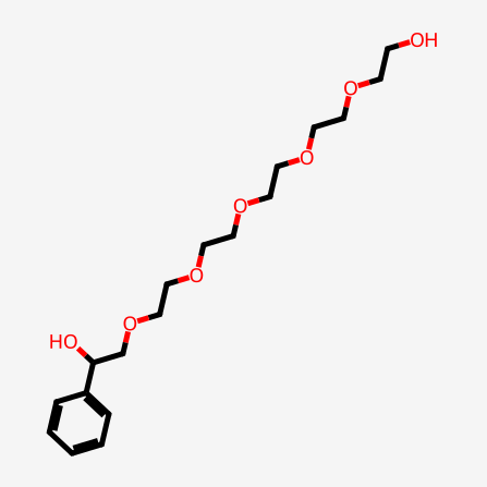 OCCOCCOCCOCCOCCOCC(O)c1ccccc1